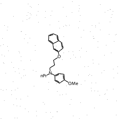 CCCN(CCCOc1ccc2ccccc2c1)c1ccc(OC)cc1